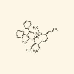 C=C=C(/C(=C\N)C/C=C\C(=C/C=C)C1CC1C)N(C)/C(C)=C(\C(=C)c1ccccc1)c1ccccc1